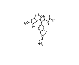 CCNC(=O)c1noc(-c2cc(C(C)C)c(C)cc2C)c1-c1ccc2c(c1)CCN(CCN)C2